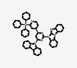 c1ccc([Si](c2ccccc2)(c2ccccc2)c2cc(-c3cc(-n4c5ccccc5c5ccccc54)nc(-n4c5ccccc5n5c6ccccc6nc45)n3)ccn2)cc1